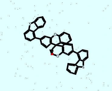 c1ccc2c(c1)Oc1cc(-c3cccc4sc5ccccc5c34)ccc1C21c2ccccc2Oc2cc(-c3cccc4sc5ccccc5c34)ccc21